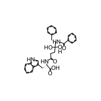 O=C(CCC(O)(O)[C@H](Cc1ccccc1)NC(=O)c1ccccc1)N[C@@H](Cc1c[nH]c2ccccc12)C(=O)O